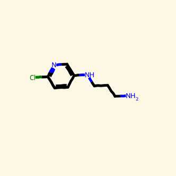 NCCCNc1ccc(Cl)nc1